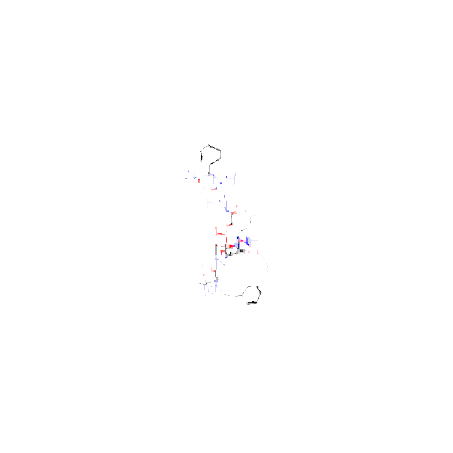 CCCC(NC(=O)[C@@H]1[C@@H]2CCN1C(=O)[C@H](C(C)(C)C)NC(=O)Cc1cccc(c1)OCCCO2)C(=O)C(=O)NCC(=O)N[C@H](C(=O)N(C)C)c1ccccc1